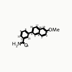 COc1ccc2cc(-c3cccc(C(N)=O)c3)ccc2c1